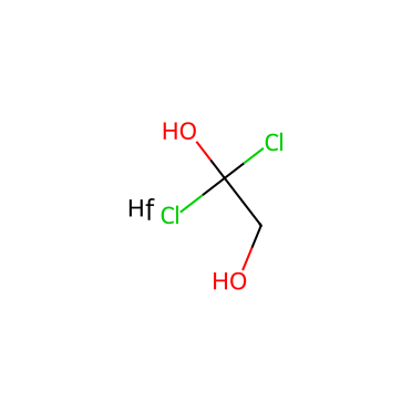 OCC(O)(Cl)Cl.[Hf]